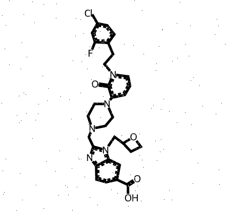 O=C(O)c1ccc2nc(CN3CCN(c4cccn(CCc5ccc(Cl)cc5F)c4=O)CC3)n(CC3CCO3)c2c1